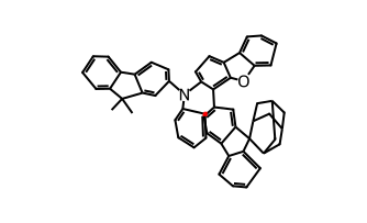 CC1(C)c2ccccc2-c2ccc(N(c3ccccc3)c3ccc4c(oc5ccccc54)c3-c3ccc4c(c3)C3(c5ccccc5-4)C4CC5CC(C4)CC3C5)cc21